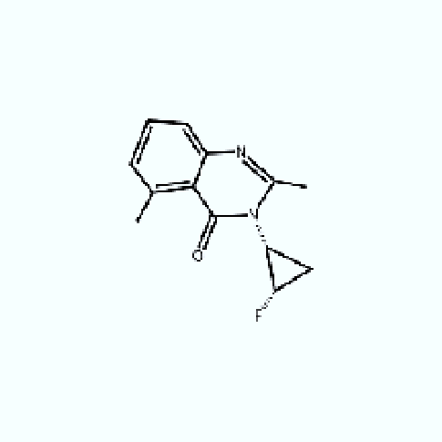 Cc1cccc2nc(C)n([C@@H]3C[C@@H]3F)c(=O)c12